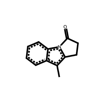 Cc1c2n(c3ccccc13)C(=O)CC2